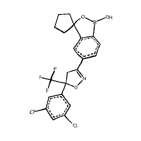 OB1OC2(CCCC2)c2cc(C3=NOC(c4cc(Cl)cc(Cl)c4)(C(F)(F)F)C3)ccc21